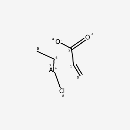 C=CC(=O)[O-].C[CH2][Al+][Cl]